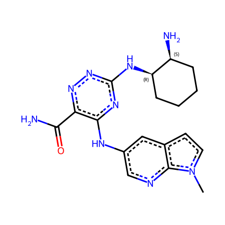 Cn1ccc2cc(Nc3nc(N[C@@H]4CCCC[C@@H]4N)nnc3C(N)=O)cnc21